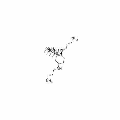 CS(=O)(=O)O.CS(=O)(=O)O.CS(=O)(=O)O.CS(=O)(=O)O.NCCCNC1CCC(NCCCN)CC1